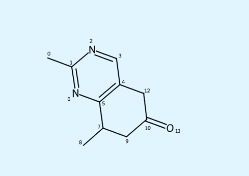 Cc1ncc2c(n1)C(C)CC(=O)C2